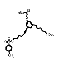 CCCCCCCCCCCCCCCc1cc(C#CCCCCOS(=O)(=O)c2ccc(C)cc2)cc(OCC(CC)CCCC)c1